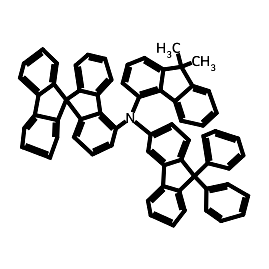 CC1(C)c2ccccc2-c2c(N(c3ccc4c(c3)-c3ccccc3C4(c3ccccc3)c3ccccc3)c3cccc4c3-c3ccccc3C43c4ccccc4-c4ccccc43)cccc21